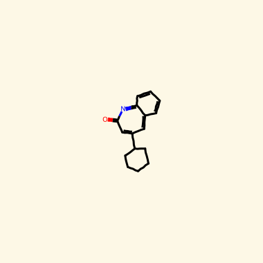 O=c1cc(C2CCCCC2)cc2ccccc2n1